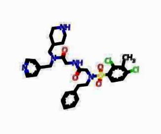 Cc1c(Cl)ccc(S(=O)(=O)N(CCc2ccccc2)CC(=O)NCC(=O)N(Cc2ccncc2)CC2CCNCC2)c1Cl